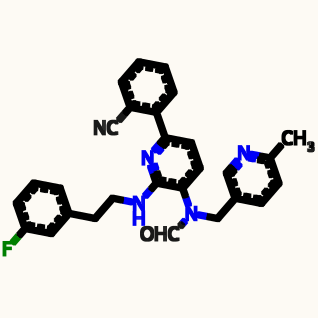 Cc1ccc(CN(C=O)c2ccc(-c3ccccc3C#N)nc2NCCc2cccc(F)c2)cn1